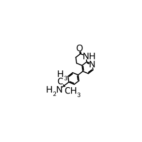 CC(C)(N)c1ccc(-c2ccnc3c2CCC(=O)N3)cc1